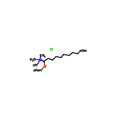 CCCCCCCCCCCCCCCCCCC(OCCCCC)[N+](C)(C)CCC.[Cl-]